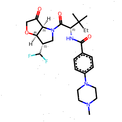 CCC(C)(C)[C@H](NC(=O)c1ccc(N2CCN(C)CC2)cc1)C(=O)N1C[C@H](C(F)F)[C@H]2OCC(=O)[C@H]21